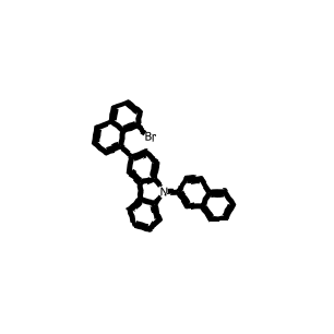 Brc1cccc2cccc(-c3ccc4c(c3)c3ccccc3n4-c3ccc4ccccc4c3)c12